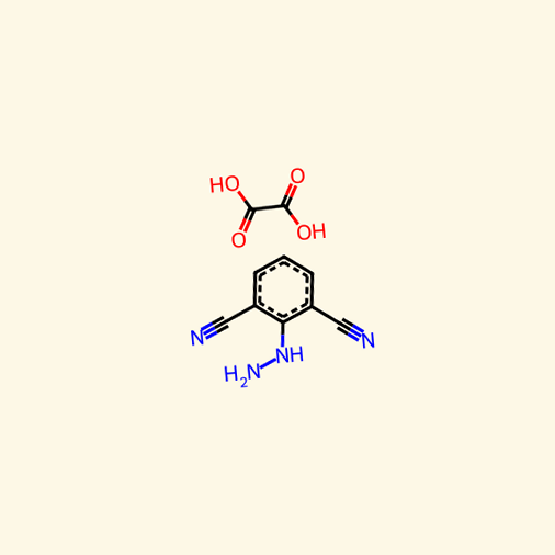 N#Cc1cccc(C#N)c1NN.O=C(O)C(=O)O